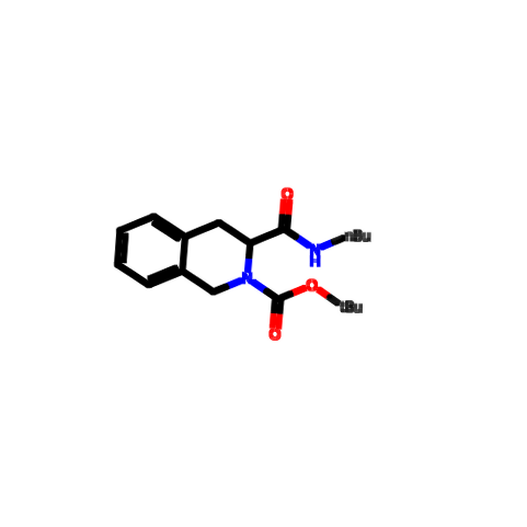 CCCCNC(=O)C1Cc2ccccc2CN1C(=O)OC(C)(C)C